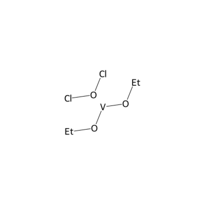 CC[O][V][O]CC.ClOCl